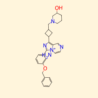 N[N+]12C=CN=CC1=C(C1CC(CN3CCCC(O)C3)C1)N=C2c1cccc(OCc2ccccc2)c1